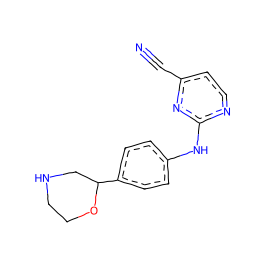 N#Cc1ccnc(Nc2ccc(C3CNCCO3)cc2)n1